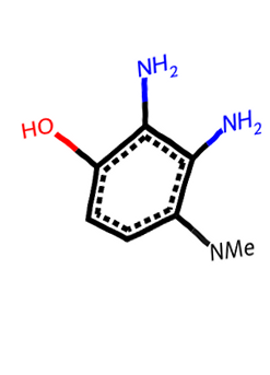 CNc1ccc(O)c(N)c1N